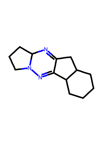 C1CCC2C3=NN4CCCC4N=C3CC2C1